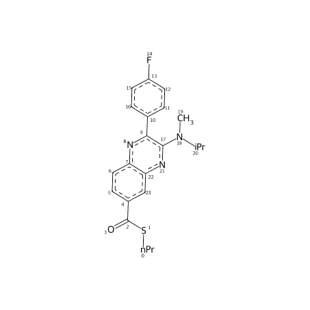 CCCSC(=O)c1ccc2nc(-c3ccc(F)cc3)c(N(C)C(C)C)nc2c1